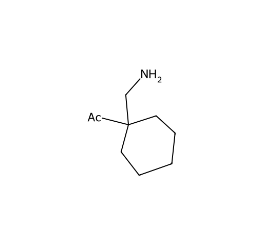 CC(=O)C1(CN)CCCCC1